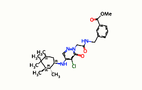 COC(=O)c1cccc(CNC(=O)Cn2ncc(N[C@@H]3C[C@H](C)C(C)(C)[C@H](C)[C@H]3C)c(Cl)c2=O)c1